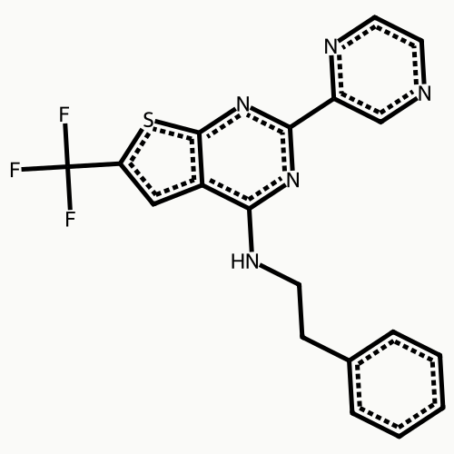 FC(F)(F)c1cc2c(NCCc3ccccc3)nc(-c3cnccn3)nc2s1